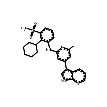 NS(=O)(=O)c1cccc(Nc2cc(-c3c[nH]c4ncccc34)cc(Cl)n2)c1C1CCCCC1